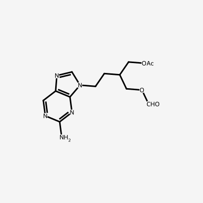 CC(=O)OCC(CCn1cnc2cnc(N)nc21)COC=O